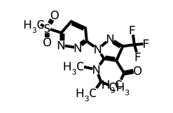 CC(=O)c1c(C(F)(F)F)nn(-c2ccc(S(C)(=O)=O)nn2)c1N(C)C(C)C